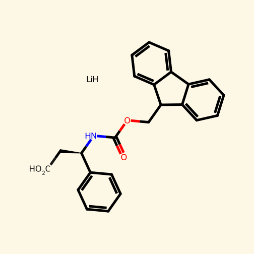 O=C(O)C[C@@H](NC(=O)OCC1c2ccccc2-c2ccccc21)c1ccccc1.[LiH]